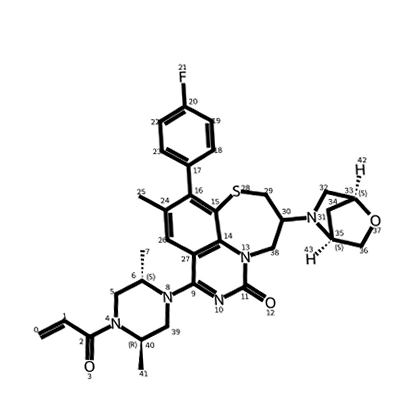 C=CC(=O)N1C[C@H](C)N(c2nc(=O)n3c4c(c(-c5ccc(F)cc5)c(C)cc24)SCC(N2C[C@@H]4C[C@H]2CO4)C3)C[C@H]1C